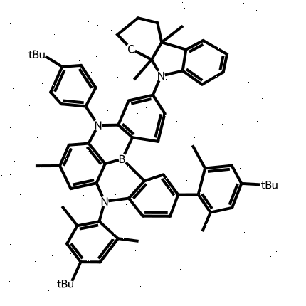 Cc1cc2c3c(c1)N(c1c(C)cc(C(C)(C)C)cc1C)c1ccc(-c4c(C)cc(C(C)(C)C)cc4C)cc1B3c1ccc(N3c4ccccc4C4(C)CCCCC34C)cc1N2c1ccc(C(C)(C)C)cc1